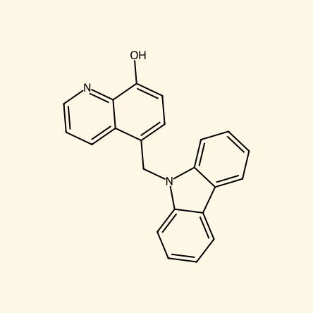 Oc1ccc(Cn2c3ccccc3c3ccccc32)c2cccnc12